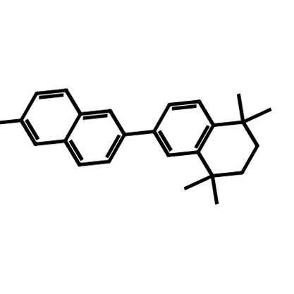 Cc1ccc2cc(-c3ccc4c(c3)C(C)(C)CCC4(C)C)ccc2c1